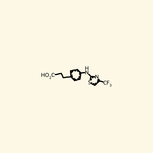 O=C(O)CCc1ccc(Nc2nc(C(F)(F)F)cs2)cc1